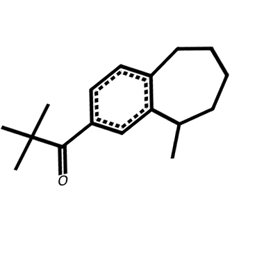 CC1CCCCc2ccc(C(=O)C(C)(C)C)cc21